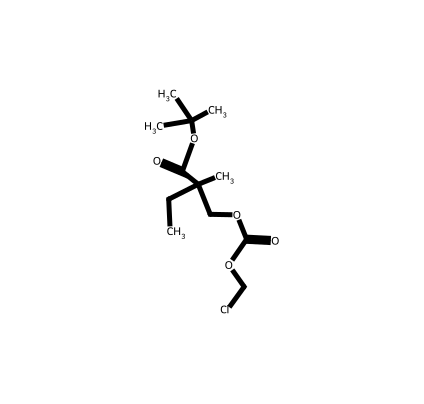 CCC(C)(COC(=O)OCCl)C(=O)OC(C)(C)C